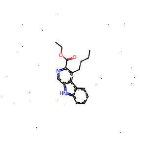 CCCCc1c(C(=O)OCC)ncc2[nH]c3ccccc3c12